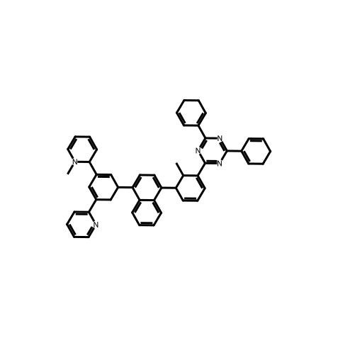 CC1C(c2nc(C3=CCCC=C3)nc(C3=CCCC=C3)n2)=CC=CC1c1ccc(C2C=C(C3C=CC=CN3C)C=C(c3ccccn3)C2)c2ccccc12